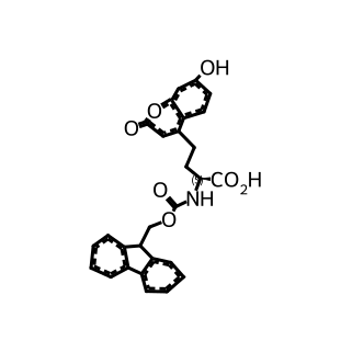 O=C(N[C@@H](CCc1cc(=O)oc2cc(O)ccc12)C(=O)O)OCC1c2ccccc2-c2ccccc21